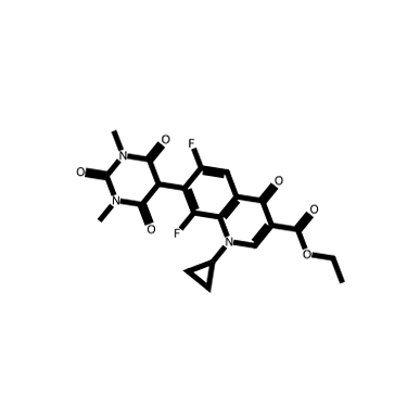 CCOC(=O)c1cn(C2CC2)c2c(F)c(C3C(=O)N(C)C(=O)N(C)C3=O)c(F)cc2c1=O